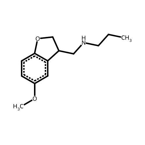 CCCNCC1COc2ccc(OC)cc21